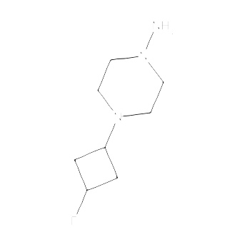 NN1CCN(C2CC(F)C2)CC1